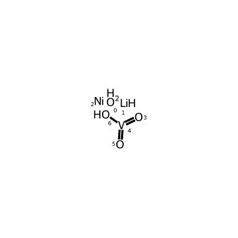 O.[LiH].[Ni].[O]=[V](=[O])[OH]